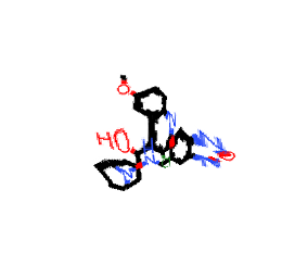 COc1ccc2ncc(Cl)c(C(O)CN3C4CCC3CC(NCc3ccc5nonc5c3)C4)c2c1